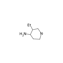 CCC1C[N]CCC1N